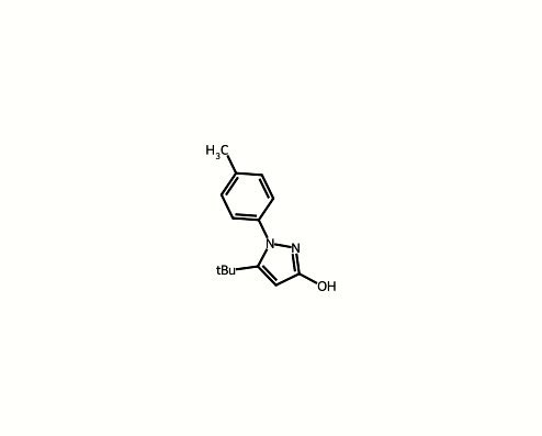 Cc1ccc(-n2nc(O)cc2C(C)(C)C)cc1